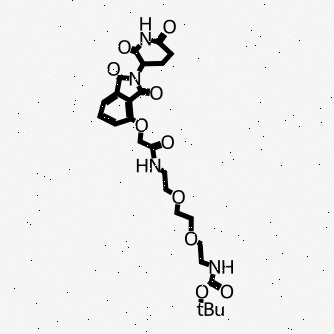 CC(C)(C)OC(=O)NCCOCCOCCNC(=O)COc1cccc2c1C(=O)N(C1CCC(=O)NC1=O)C2=O